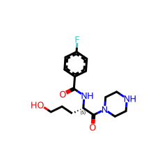 O=C(N[C@@H](CCCO)C(=O)N1CCNCC1)c1ccc(F)cc1